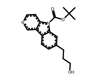 CC(C)(C)OC(=O)n1c2ccncc2c2ccc(CCCO)cc21